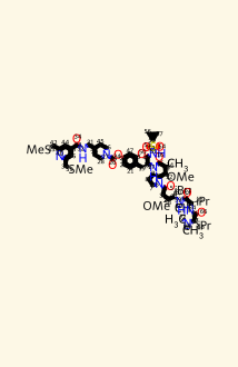 CC[C@H](C)[C@@H]([C@@H](CC(=O)N1CCC[C@H]1[C@H](OC)[C@@H](C)C(=O)N[C@@H](Cc1ccc(OC(=O)N2CCC(CNC(=O)c3cc(CSC)nc(CSC)c3)CC2)cc1)C(=O)NS(=O)(=O)C1CC1)OC)N(C)C(=O)[C@@H](NC(=O)[C@H](C(C)C)N(C)C)C(C)C